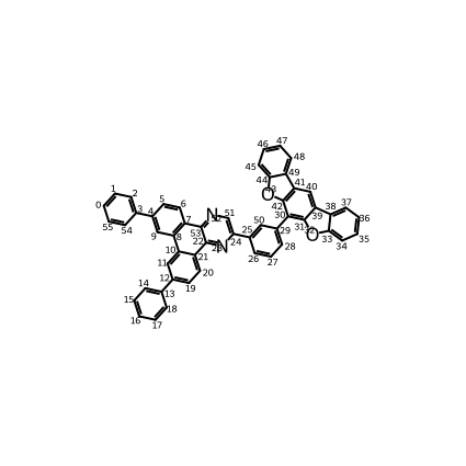 c1ccc(-c2ccc3c(c2)c2cc(-c4ccccc4)ccc2c2nc(-c4cccc(-c5c6oc7ccccc7c6cc6c5oc5ccccc56)c4)cnc32)cc1